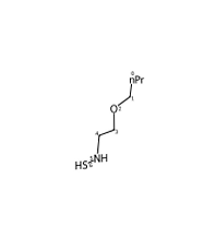 CCCCOCCNS